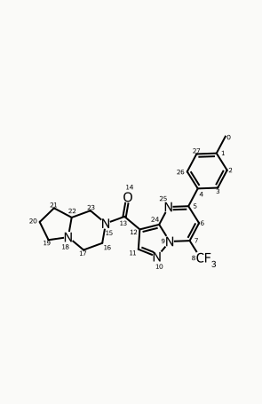 Cc1ccc(-c2cc(C(F)(F)F)n3ncc(C(=O)N4CCN5CCCC5C4)c3n2)cc1